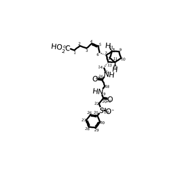 O=C(O)CCC/C=C\C[C@@H]1[C@@H]2CC[C@@H](C2)[C@@H]1CNC(=O)CNC(=O)C[S+]([O-])c1ccccc1